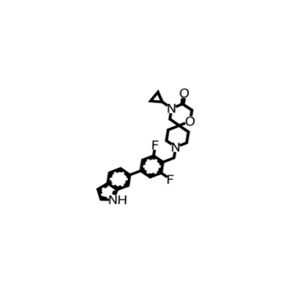 O=C1COC2(CCN(Cc3c(F)cc(-c4ccc5cc[nH]c5c4)cc3F)CC2)CN1C1CC1